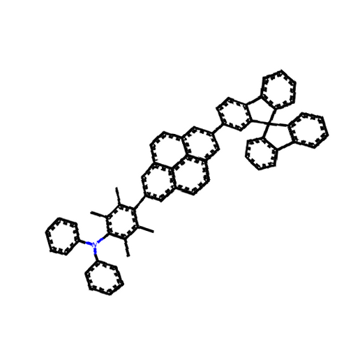 Cc1c(C)c(N(c2ccccc2)c2ccccc2)c(C)c(C)c1-c1cc2ccc3cc(-c4ccc5c(c4)C4(c6ccccc6-c6ccccc64)c4ccccc4-5)cc4ccc(c1)c2c34